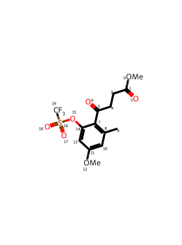 COC(=O)CCC(=O)c1c(C)cc(OC)cc1OS(=O)(=O)C(F)(F)F